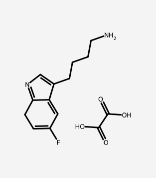 NCCCCC1=CN=C2CC=C(F)C=C12.O=C(O)C(=O)O